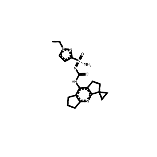 CCn1ccc([S@@](N)(=O)=NC(=O)Nc2c3c(nc4c2CCC42CC2)CCC3)n1